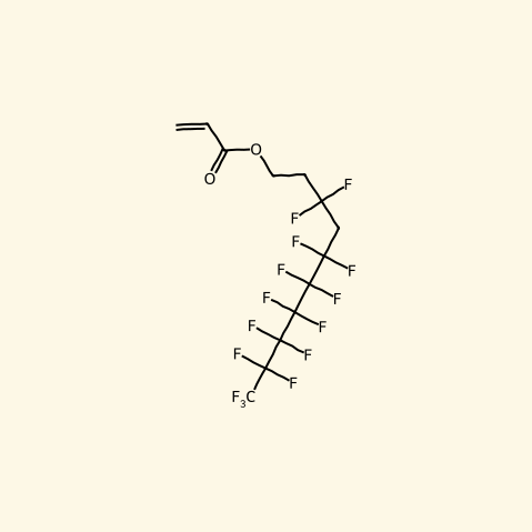 C=CC(=O)OCCC(F)(F)CC(F)(F)C(F)(F)C(F)(F)C(F)(F)C(F)(F)C(F)(F)F